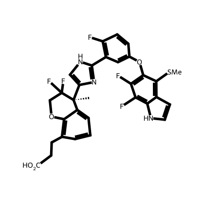 CSc1c(Oc2ccc(F)c(-c3nc([C@@]4(C)c5cccc(CCC(=O)O)c5OCC4(F)F)c[nH]3)c2)c(F)c(F)c2[nH]ccc12